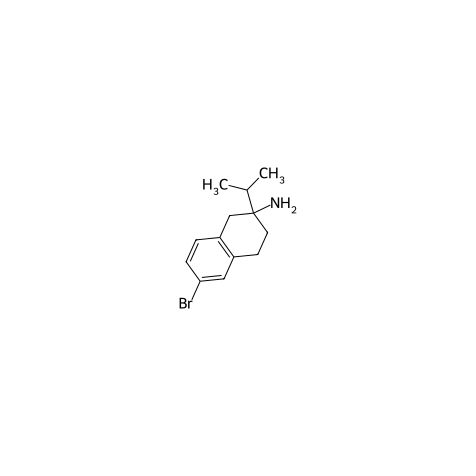 CC(C)C1(N)CCc2cc(Br)ccc2C1